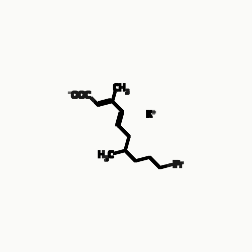 CC(C=CCC(C)CCCC(C)C)=CC(=O)[O-].[K+]